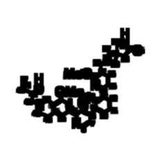 COc1cc(-c2nccc(-c3cccc(-c4ccc(CN5CC6(CNC(=O)C6)C5)c(OC)n4)c3Cl)c2Cl)cc2c1CN(C[C@@H](O)CF)CC2